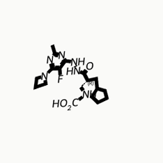 Cc1nc(NNC(=O)[C@@H](CNC(=O)O)CC2CCCC2)c(F)c(N2CCC2)n1